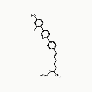 CCCCCOC(C)CCCC=Cc1ccc(-c2ccc(-c3ccc(O)cc3F)cn2)cc1